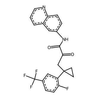 O=C(CC1(c2cc(C(F)(F)F)ccc2F)CC1)C(=O)Nc1ccc2ncccc2c1